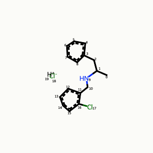 CC(Cc1ccccc1)NCc1ccccc1Cl.[Cl-].[H+]